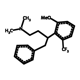 COc1cccc(C(F)(F)F)c1C(CCN(C)C)Cc1ccccc1